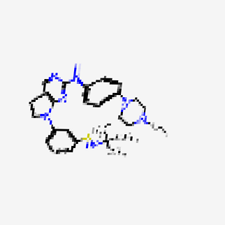 CN1CCN(c2ccc(Nc3ncc4c(n3)N(c3cccc(SNC(C)(C)C)c3)CC4)cc2)CC1